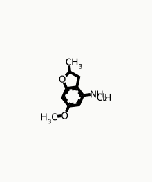 COc1cc(N)c2c(c1)OC(C)C2.Cl